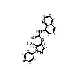 O=C(Nc1cccc2cccnc12)Oc1cnn(-c2ccccc2)c1C(F)(F)F